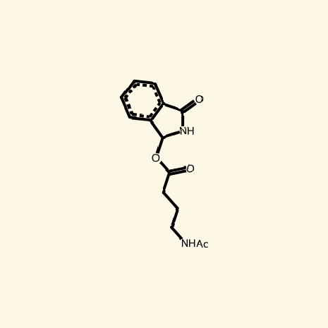 CC(=O)NCCCC(=O)OC1NC(=O)c2ccccc21